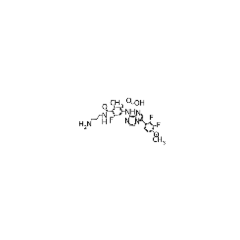 COc1ccc(-c2cnc3c(Nc4cc(C)c(C(=O)NCCCN)c(F)c4)nccn23)c(F)c1F.O=CO